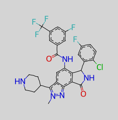 Cn1nc2c3c(c(NC(=O)c4cc(F)cc(C(F)(F)F)c4)cc2c1C1CCNCC1)C(c1cc(F)ccc1Cl)NC3=O